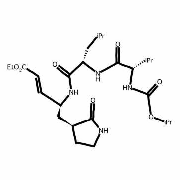 CCOC(=O)/C=C/[C@H](C[C@@H]1CCNC1=O)NC(=O)[C@H](CC(C)C)NC(=O)[C@@H](NC(=O)OC(C)C)C(C)C